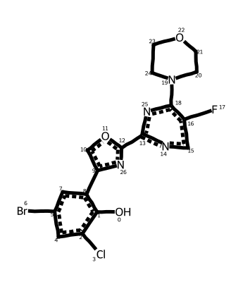 Oc1c(Cl)cc(Br)cc1-c1coc(-c2ncc(F)c(N3CCOCC3)n2)n1